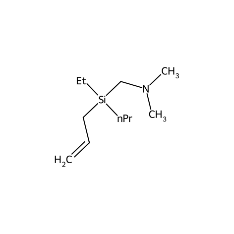 C=CC[Si](CC)(CCC)CN(C)C